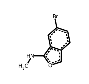 CNc1occ2ccc(Br)cc12